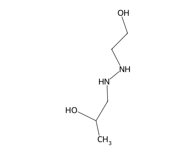 CC(O)CNNCCO